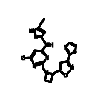 Cc1cc(Nc2cc(Cl)nc(N3CCC3c3cc(-c4nccs4)no3)n2)n[nH]1